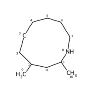 CC1CCCCCCNC(C)C1